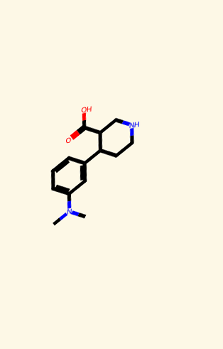 CN(C)c1cccc(C2CCNCC2C(=O)O)c1